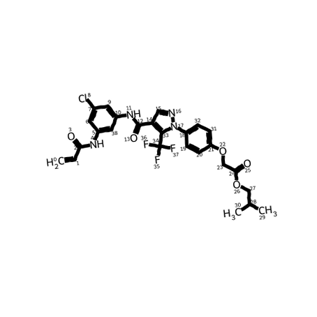 C=CC(=O)Nc1cc(Cl)cc(NC(=O)c2cnn(-c3ccc(OCC(=O)OCC(C)C)cc3)c2C(F)(F)F)c1